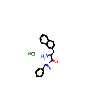 CN(Cc1ccccc1)C(=O)C(N)Cc1ccc2ccccc2c1.Cl